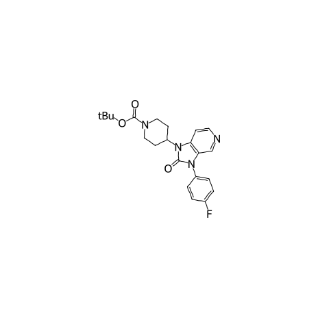 CC(C)(C)OC(=O)N1CCC(n2c(=O)n(-c3ccc(F)cc3)c3cnccc32)CC1